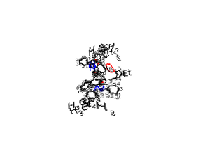 C=C1/C=C2/C=C(CC)CC(C2)Oc2cc3cccnc3cc2C12c1cc(N(c3ccccc3)c3ccc([Si](C)(C)C)cc3)ccc1-c1c2cc(N(c2ccccc2)c2ccc([Si](C)(C)C)cc2)c2ccccc12